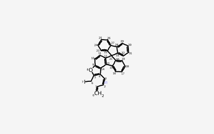 C=C/C=C\c1c(CI)oc2ccc3c(c12)-c1ccccc1C31c2ccccc2-c2ccccc21